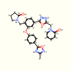 Cc1noc(-c2ccc(Oc3cc(-c4nnc(Cn5ccccc5=O)o4)ccc3CN3CCCC3=O)cc2)n1